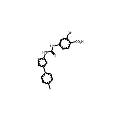 Cc1ccc(-c2csc(NC(=S)Nc3ccc(C(=O)O)c(O)c3)n2)cc1